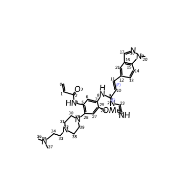 C=CC(=O)Nc1cc(NC(/C=C/c2ccc3c(cnn3C)c2)=N/C=N)c(OC)cc1N1CCN(CCN(C)C)CC1